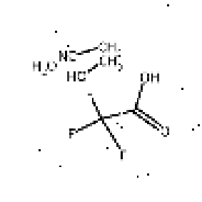 CC#N.CO.O.O=C(O)C(F)(F)F